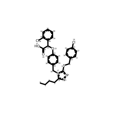 CCCCc1nnc(SCc2ccc(Cl)cc2)n1Cc1ccc(OC(C(=O)O)c2ccccc2Cl)cc1